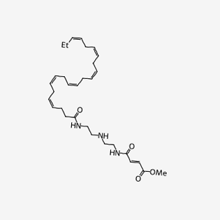 CC/C=C\C/C=C\C/C=C\C/C=C\C/C=C\C/C=C\CCC(=O)NCCNCCNC(=O)/C=C/C(=O)OC